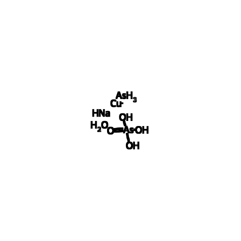 O.O=[As](O)(O)O.[AsH3].[Cu].[NaH]